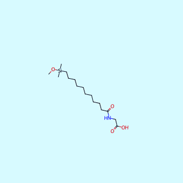 CO[Si](C)(C)CCCCCCCCCCC(=O)NCC(=O)O